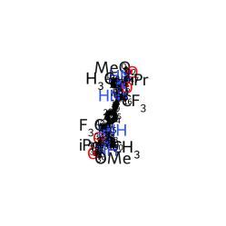 COC(=O)N[C@H](C(=O)N1C[C@@H](C)C[C@H]1c1nc(C(F)(F)F)c(C#Cc2ccc(-c3[nH]c([C@@H]4C[C@H](C)CN4C(=O)[C@@H](NC(=O)OC)C(C)C)nc3C(F)(F)F)cc2)[nH]1)C(C)C